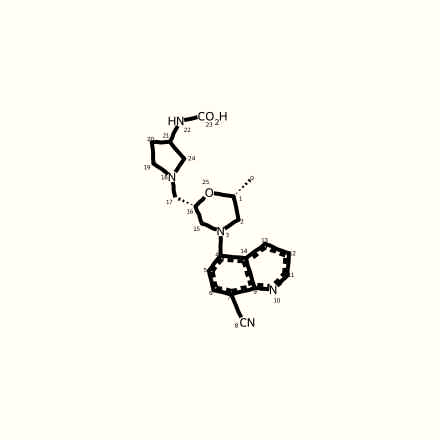 C[C@@H]1CN(c2ccc(C#N)c3ncccc23)C[C@H](CN2CCC(NC(=O)O)C2)O1